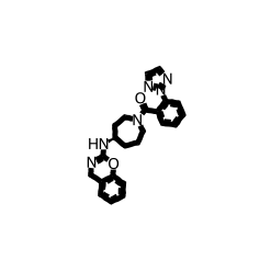 O=C(c1ccccc1-n1nccn1)N1CCC[C@@H](NC2=NCc3ccccc3O2)CC1